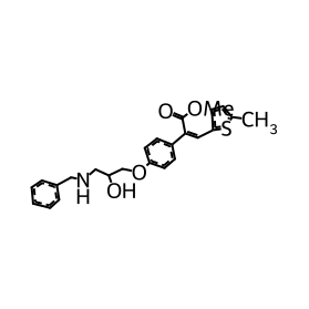 COC(=O)C(=Cc1ccc(C)s1)c1ccc(OCC(O)CNCc2ccccc2)cc1